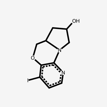 OC1CC2COc3c(I)ccnc3N2C1